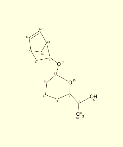 OC(C1CCCC(OC2CC3C=CC2C3)O1)C(F)(F)F